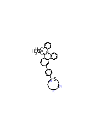 C=C=C1C2=C(C=C(c3ccc(/C4=C/CC/C=C\C=C/CS4)cc3)CC=C2)c2ccccc2N1c1ccccc1C